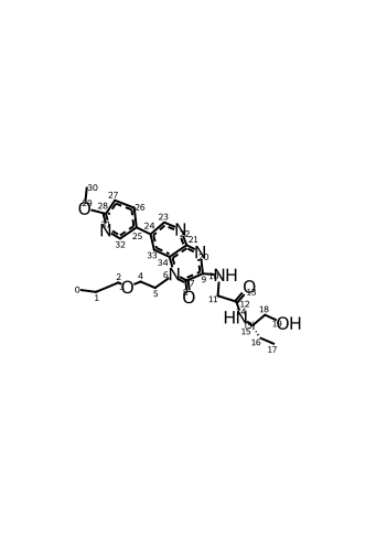 CCCOCCn1c(=O)c(NCC(=O)N[C@@H](CC)CO)nc2ncc(-c3ccc(OC)nc3)cc21